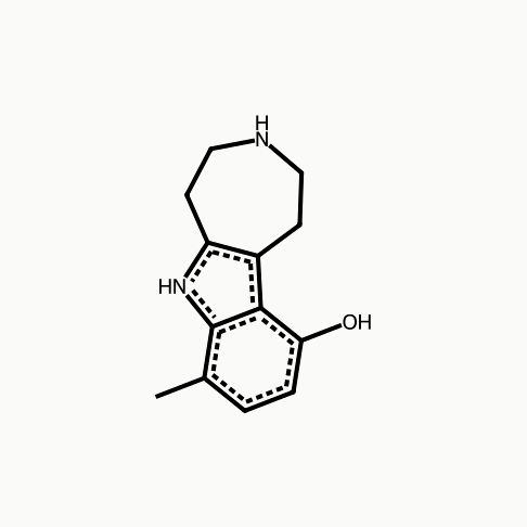 Cc1ccc(O)c2c3c([nH]c12)CCNCC3